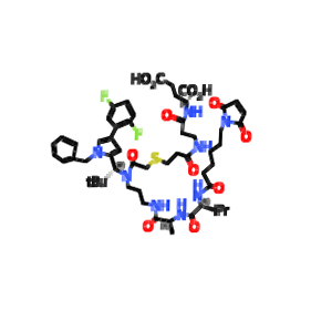 CC(C)[C@H](NC(=O)CCCCCN1C(=O)C=CC1=O)C(=O)N[C@@H](C)C(=O)NCCCN(C(=O)CSCCC(=O)NCCC(=O)N[C@H](CCC(=O)O)C(=O)O)[C@@H](c1cc(-c2cc(F)ccc2F)cn1Cc1ccccc1)C(C)(C)C